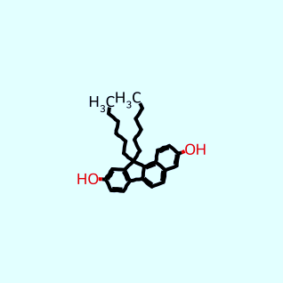 CCCCCCC1(CCCCCC)c2cc(O)ccc2-c2ccc3cc(O)ccc3c21